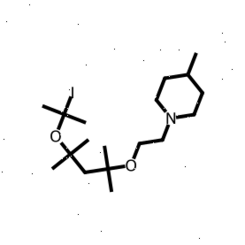 CC1CCN(CCOC(C)(C)CC(C)(C)OC(C)(C)I)CC1